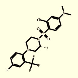 C[C@@H]1CN(c2ccc(F)cc2C(F)(F)F)CCN1S(=O)(=O)c1ccc(N(C)C)cc1Cl